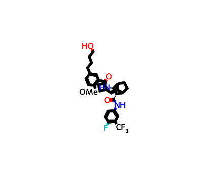 COc1ccc(CCCCO)cc1C(=O)N[C@@H]1C2CCC(/C2=C/C2CCC2)[C@@H]1C(=O)Nc1ccc(F)c(C(F)(F)F)c1